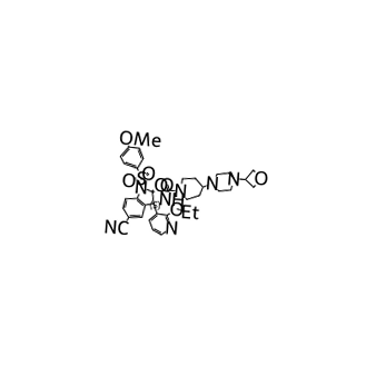 CCOc1ncccc1[C@]1(NC(=O)N2CCC(N3CCN(C4COC4)CC3)CC2)C(=O)N(S(=O)(=O)c2ccc(OC)cc2)c2ccc(C#N)cc21